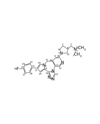 CN(C)CC1CCN(c2cc3c(cn2)-n2cnnc2-c2cc(-c4ccc(F)cc4)cn2C3)C1